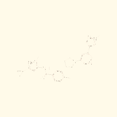 Cc1ccc(C(=O)Nc2cc(C3CC3)nn2C)cc1[C@@H]1CCN(c2cncc(-c3cnn(C)c3)c2)C1